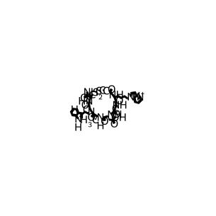 C[C@@H]1NC(=O)[C@H](CC(=O)O)NC(=O)CNC(=O)C(CCCCn2cc[n+]3ncccc23)NC(=O)CCSSCC(C(N)=O)NC(=O)[C@H](C)N(CCc2c[nH]c3ccccc23)C1=O